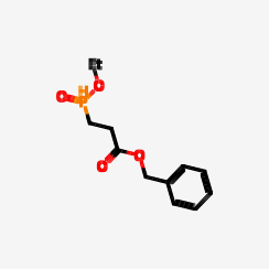 CCO[PH](=O)CCC(=O)OCc1ccccc1